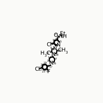 CCNC(=O)c1cnc(N2C[C@H](C)N(C3CCN(Cc4ccc(Cl)cc4F)CC3)C[C@H]2C)c(Cl)c1